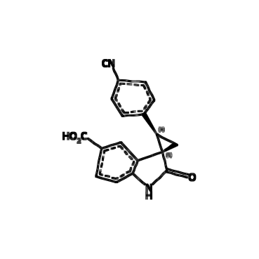 [C-]#[N+]c1ccc([C@H]2C[C@]23C(=O)Nc2ccc(C(=O)O)cc23)cc1